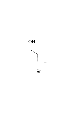 CC(C)(Br)CCO